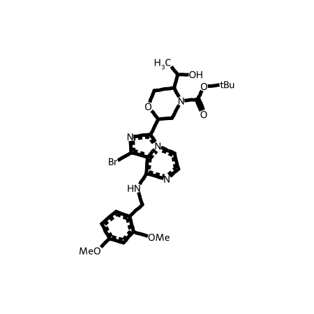 COc1ccc(CNc2nccn3c(C4CN(C(=O)OC(C)(C)C)C(C(C)O)CO4)nc(Br)c23)c(OC)c1